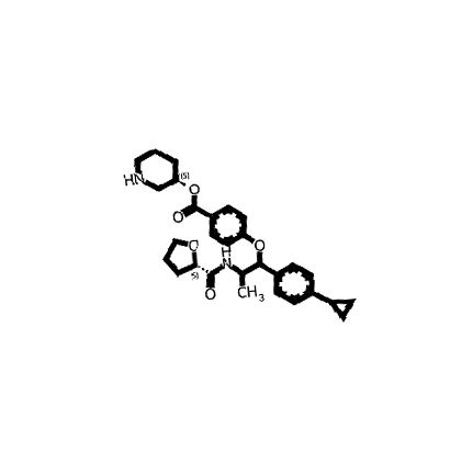 CC(NC(=O)[C@@H]1CCCO1)C(Oc1ccc(C(=O)O[C@H]2CCCNC2)cc1)c1ccc(C2CC2)cc1